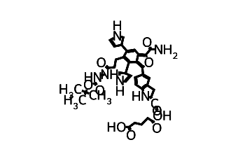 CC(C)(C)OC(=O)NNC(=O)CCc1c(C2C=CNC2)cc2c(C(N)=O)oc(-c3ccc4c(c3)CC(=C=O)N4)c2c1C1C=CNC1.O=C(O)CCCC(=O)O